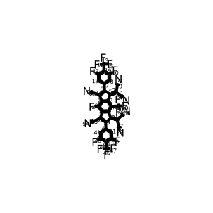 N#CC(C#N)=C1C(c2cc(F)c(C(F)(F)F)c(F)c2)=C(C#N)c2c(F)c3c(c(C(F)(F)F)c21)C(=C(C#N)C#N)C(c1cc(F)c(C(F)(F)F)c(F)c1)=C3C#N